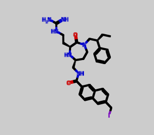 CC[C@H](CN1CC[C@@H](CNC(=O)c2ccc3cc(CI)ccc3c2)N[C@@H](CCNC(=N)N)C1=O)c1ccccc1